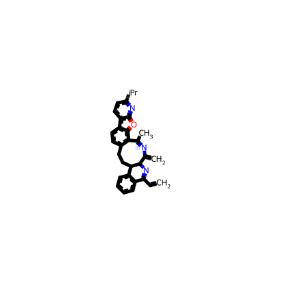 C=CC1=NC2C(=C)/N=C(/C)c3c(ccc4c3oc3nc(C(C)C)ccc34)CCC2c2ccccc21